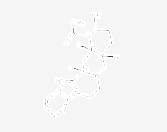 COC(=O)[C@@H]1C(O)CC[C@@H]2CN3CCc4c([nH]c5ccccc45)[C@@H]3C[C@@H]21